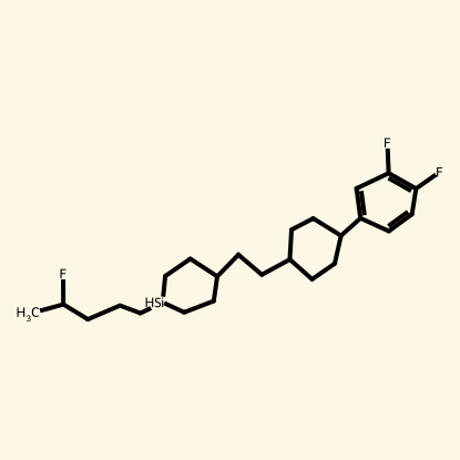 CC(F)CCC[SiH]1CCC(CCC2CCC(c3ccc(F)c(F)c3)CC2)CC1